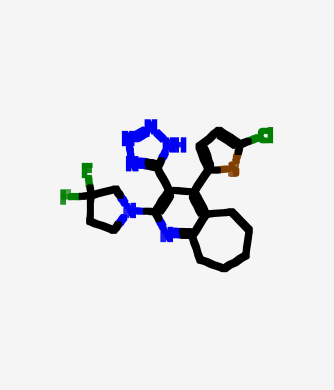 FC1(F)CCN(c2nc3c(c(-c4ccc(Cl)s4)c2-c2nnn[nH]2)CCCCC3)C1